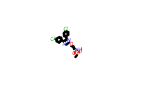 CCS(=O)(=O)NCCCOc1cnc(-c2ccc(Cl)cc2)c(-c2ccc(Cl)cc2)n1